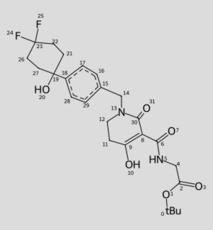 CC(C)(C)OC(=O)CNC(=O)C1=C(O)CCN(Cc2ccc(C3(O)CCC(F)(F)CC3)cc2)C1=O